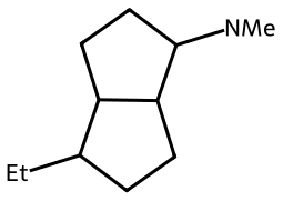 CCC1CCC2C(NC)CCC12